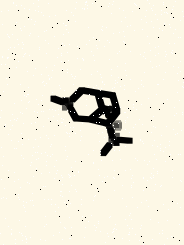 CN1CC2CC[C@@H](N(C)C)C(C1)C2=O